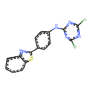 Clc1nc(Cl)nc(Nc2ccc(-c3nc4ccccc4s3)cc2)n1